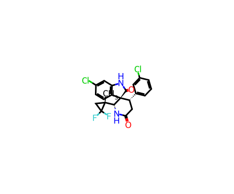 C[C@]1([C@H]2NC(=O)C[C@@H](c3cccc(Cl)c3)[C@]23C(=O)Nc2cc(Cl)ccc23)CC1(F)F